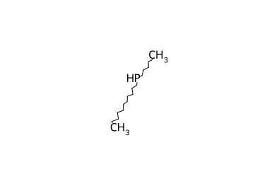 CCCCCCCCCCCPCCCCCC